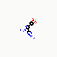 CS(=O)(=O)c1ccc(-c2cnc(N)c(-c3cnc(N)nc3)c2)cc1